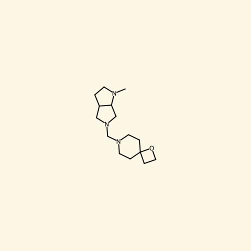 CN1CCC2CN(CN3CCC4(CCO4)CC3)CC21